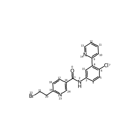 O=C(Nc1ccc(Cl)c(-c2ccccn2)c1)c1ccc(CCBr)nc1